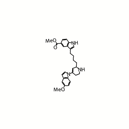 COC(=O)c1ccc2[nH]cc(CCCCC3C=C(n4ccc5cc(OC)ccc54)CCN3)c2c1